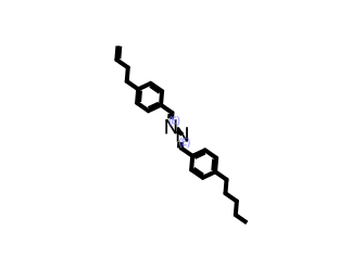 C=CCCc1ccc(/C=N/N=C/c2ccc(CCCCC)cc2)cc1